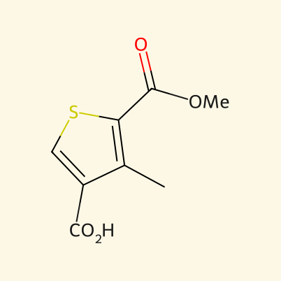 COC(=O)c1scc(C(=O)O)c1C